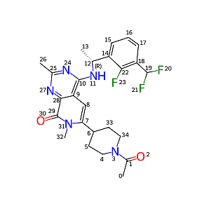 CC(=O)N1CCC(c2cc3c(N[C@H](C)c4cccc(C(F)F)c4F)nc(C)nc3c(=O)n2C)CC1